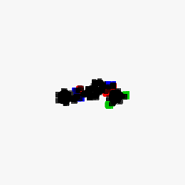 O=S(=O)(Nc1ccc2cc(-c3nc(Cc4ccccc4)no3)ccc2c1)c1cc(Cl)cc(Cl)c1